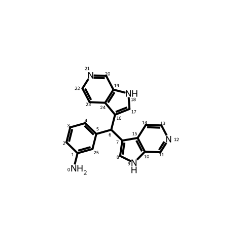 Nc1cccc(C(c2c[nH]c3cnccc23)c2c[nH]c3cnccc23)c1